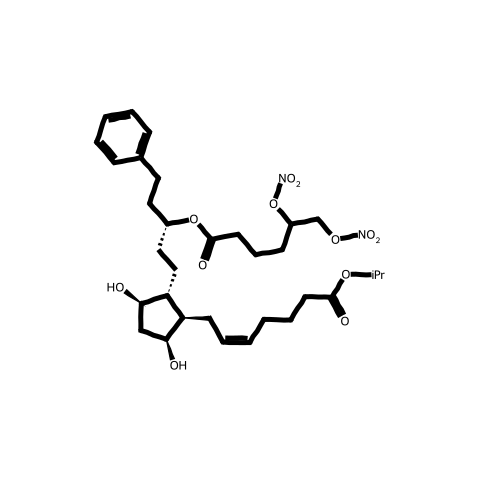 CC(C)OC(=O)CCC/C=C\C[C@@H]1[C@@H](CC[C@H](CCc2ccccc2)OC(=O)CCCC(CO[N+](=O)[O-])O[N+](=O)[O-])[C@H](O)C[C@@H]1O